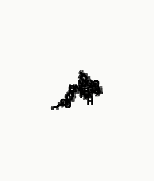 CCCCOC(=O)N1CCN(C(=O)CNC(=O)c2cc(OCC(=O)N3CCCC3C(=O)N[C@H]3CC3(F)F)c3ccc(C)cc3n2)CC1